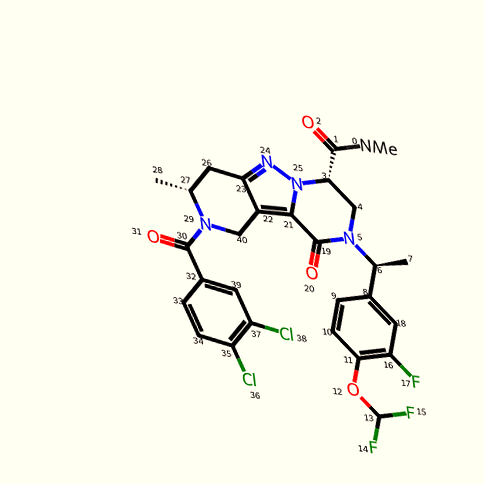 CNC(=O)[C@@H]1CN([C@@H](C)c2ccc(OC(F)F)c(F)c2)C(=O)c2c3c(nn21)C[C@@H](C)N(C(=O)c1ccc(Cl)c(Cl)c1)C3